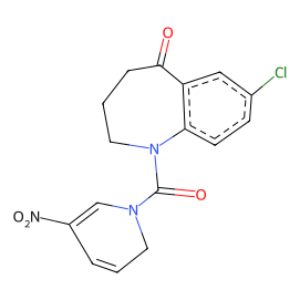 O=C1CCCN(C(=O)N2C=C([N+](=O)[O-])C=CC2)c2ccc(Cl)cc21